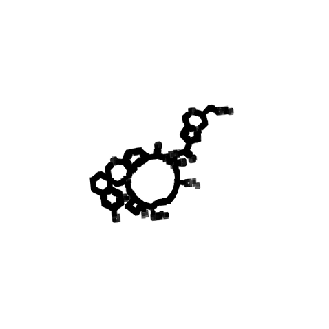 COC[C@H]1Cn2cc(C(=O)N[S@@]3(=O)=NC(=O)c4ccc5c(c4)N(C[C@@H]4CC[C@H]4[C@@H](OC)/C=C/C[C@H](C)C3)C[C@@]3(CCCc4cc(Cl)ccc43)CO5)cc2CO1